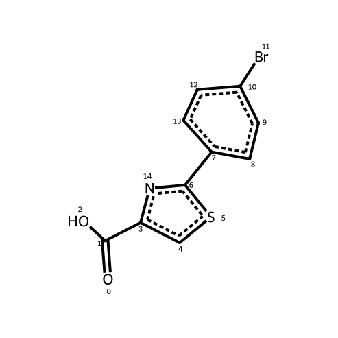 O=C(O)c1csc(-c2ccc(Br)cc2)n1